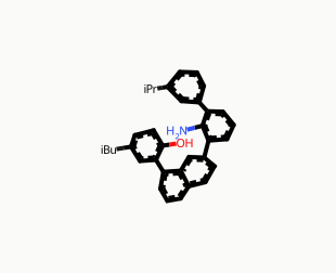 CCC(C)c1ccc(O)c(-c2cccc3ccc(-c4cccc(-c5cccc(C(C)C)c5)c4N)cc23)c1